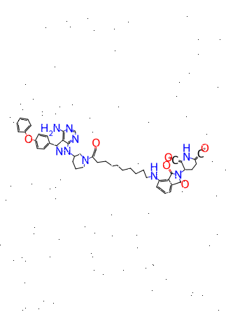 Nc1ncnc2c1c(-c1ccc(Oc3ccccc3)cc1)nn2C1CCCN(C(=C=O)CCCCCCCCCNc2cccc3c2C(=O)N(C2CCC(=C=O)NC2=C=O)C3=O)C1